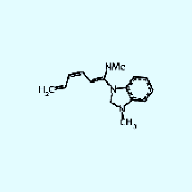 C=C/C=C\C=C(/NC)N1CN(C)c2ccccc21